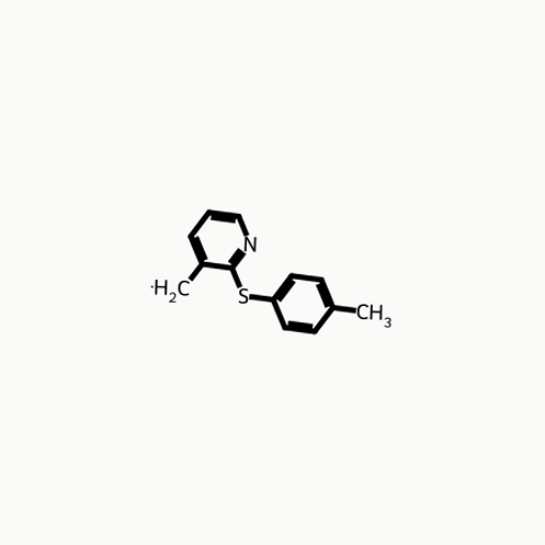 [CH2]c1cccnc1Sc1ccc(C)cc1